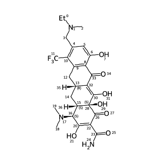 CCN(C)Cc1cc(O)c2c(c1C(F)(F)F)C[C@H]1C[C@H]3[C@H](N(C)C)C(O)=C(C(N)=O)C(=O)[C@@]3(O)C(O)=C1C2=O